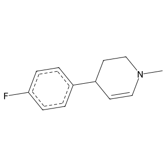 CN1C=CC(c2ccc(F)cc2)CC1